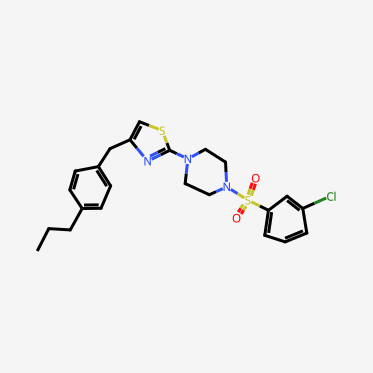 CCCc1ccc(Cc2csc(N3CCN(S(=O)(=O)c4cccc(Cl)c4)CC3)n2)cc1